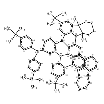 CC(C)(C)c1ccc(N(c2ccc(C(C)(C)C)cc2)c2ccc3c(c2)N(c2ccc(C(C)(C)C)cc2-c2ccccc2)c2cc(-c4cccc5c4sc4ccccc45)cc4c2B3c2cc(C(C)(C)C)cc3c2N4C2(C)CCCCC32C)cc1